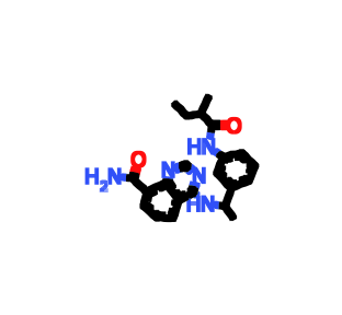 CCC(C)C(=O)Nc1cccc(C(C)Nc2ncnc3c(C(N)=O)cccc23)c1